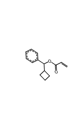 C=CC(=O)OC(c1ccccc1)C1CCC1